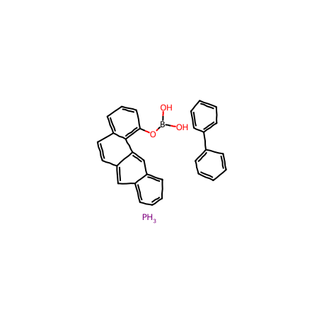 OB(O)Oc1cccc2ccc3cc4ccccc4cc3c12.P.c1ccc(-c2ccccc2)cc1